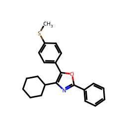 CSc1ccc(-c2oc(-c3ccccc3)nc2C2CCCCC2)cc1